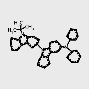 CC(C)(C)n1c2ccccc2c2cc(-n3c4ccccc4c4cc(N(c5ccccc5)c5ccccc5)ccc43)ccc21